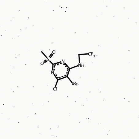 CCC(C)c1c(Cl)nc(S(C)(=O)=O)nc1NCC(F)(F)F